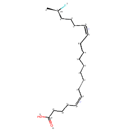 C[C@@H](F)CCC/C=C\CCCCCCC/C=C\CCCC(=O)O